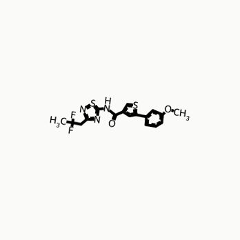 COc1cccc(-c2cc(C(=O)Nc3nc(CC(C)(F)F)ns3)cs2)c1